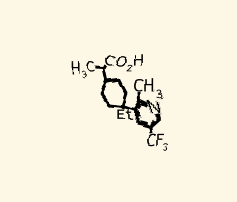 CCC1(c2cc(C(F)(F)F)cnc2C)CCC(C(C)C(=O)O)CC1